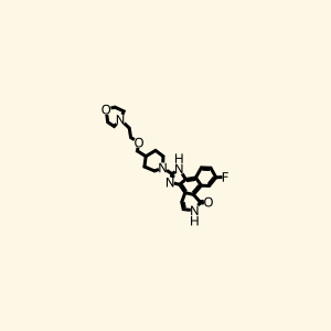 O=c1[nH]ccc2c3nc(N4CCC(COCCN5CCOCC5)CC4)[nH]c3c3ccc(F)cc3c12